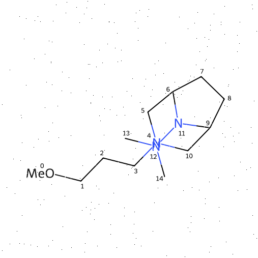 COCCCN1CC2CCC(C1)N2N(C)C